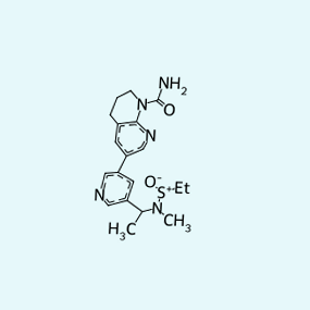 CC[S+]([O-])N(C)C(C)c1cncc(-c2cnc3c(c2)CCCN3C(N)=O)c1